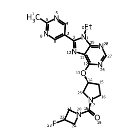 CCn1c(-c2cnc(C)nc2)nc2c(O[C@H]3CCN(C(=O)N4CC(F)C4)C3)ncnc21